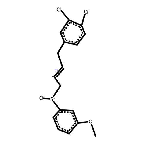 COc1cccc([S+]([O-])C/[C]=C/Cc2ccc(Cl)c(Cl)c2)c1